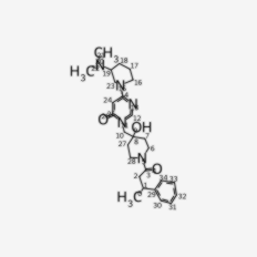 CC(CC(=O)N1CCC(O)(Cn2cnc(N3CCCC(N(C)C)C3)cc2=O)CC1)c1ccccc1